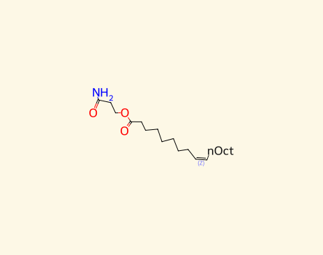 CCCCCCCC/C=C\CCCCCCCC(=O)OCCC(N)=O